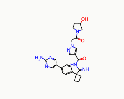 N=C(NC(=O)c1cnn(CC(=O)N2CCC(O)C2)c1)C1(c2ccc(-c3cnc(N)nc3)cc2)CCC1